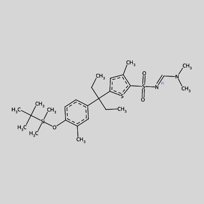 CCC(CC)(c1ccc(O[Si](C)(C)C(C)(C)C)c(C)c1)c1cc(C)c(S(=O)(=O)/N=C/N(C)C)s1